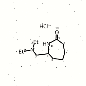 CCN(CC)CC1CCCCC(=O)N1.Cl